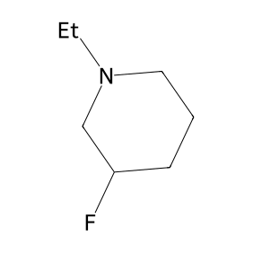 [CH2]CN1CCCC(F)C1